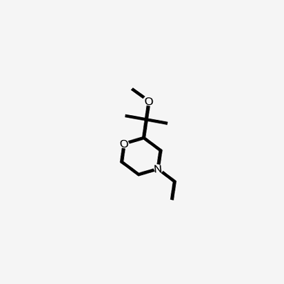 CCN1CCOC(C(C)(C)OC)C1